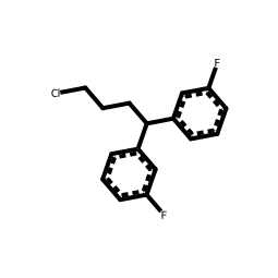 Fc1cccc(C(CCCCl)c2cccc(F)c2)c1